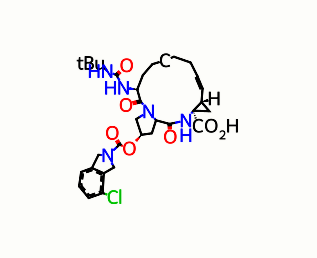 CC(C)(C)NC(=O)N[C@H]1CCCCC/C=C\[C@@H]2C[C@@]2(C(=O)O)NC(=O)C2C[C@@H](OC(=O)N3Cc4cccc(Cl)c4C3)CN2C1=O